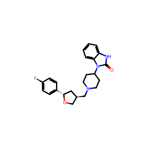 O=c1[nH]c2ccccc2n1C1CCN(C[C@H]2CO[C@H](c3ccc(F)cc3)C2)CC1